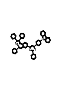 c1ccc(-c2nc(-c3ccc(-n4c5ccccc5c5ccccc54)cc3)cc(-c3ccc4c(c3)cc(-c3ccccc3)n3nc(-c5ccccc5)c(-c5ccccc5)c43)n2)cc1